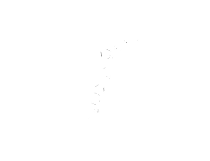 CN1CCN(c2cccc(C3=CCN(Cc4cccc(NC(=O)NC5CC5)c4)CC3)n2)CC1